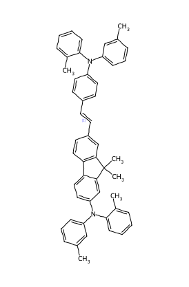 Cc1cccc(N(c2ccc(/C=C/c3ccc4c(c3)C(C)(C)c3cc(N(c5cccc(C)c5)c5ccccc5C)ccc3-4)cc2)c2ccccc2C)c1